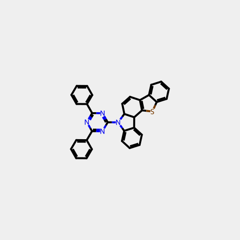 C1=CC2C(c3ccccc3N2c2nc(-c3ccccc3)nc(-c3ccccc3)n2)c2sc3ccccc3c21